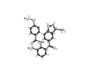 COc1ccc(C(=O)Nc2c(N)cccc2C(=O)c2ccc3onc(N)c3c2)cc1